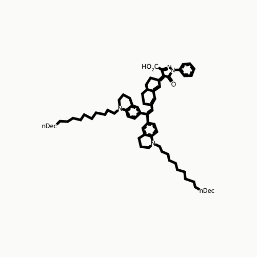 CCCCCCCCCCCCCCCCCCCCN1CCCc2cc(C(=CC3=CC4=C/C(=C5\C(=O)N(c6ccccc6)N=C5C(=O)O)CCC4CC3)c3ccc4c(c3)CCCN4CCCCCCCCCCCCCCCCCCCC)ccc21